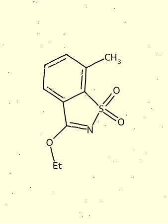 CCOC1=NS(=O)(=O)c2c(C)cccc21